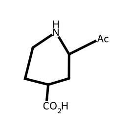 CC(=O)C1CC(C(=O)O)CCN1